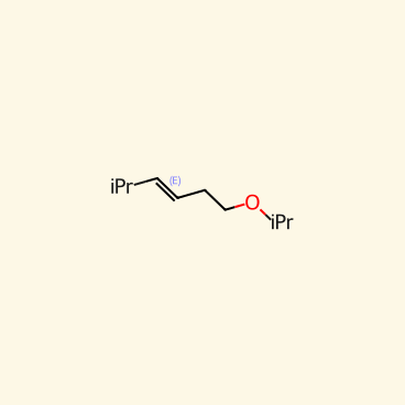 CC(C)/C=C/CCOC(C)C